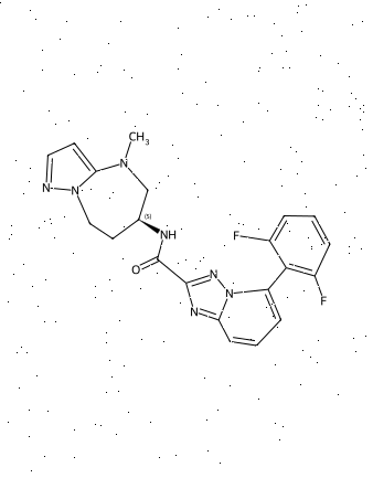 CN1C[C@@H](NC(=O)c2nc3cccc(-c4c(F)cccc4F)n3n2)CCn2nccc21